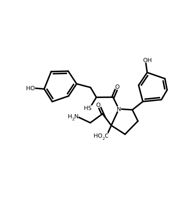 NCC(=O)C1(C(=O)O)CCC(c2cccc(O)c2)N1C(=O)C(S)Cc1ccc(O)cc1